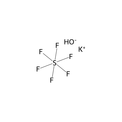 FS(F)(F)(F)(F)F.[K+].[OH-]